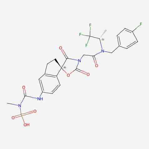 C[C@H](N(Cc1ccc(F)cc1)C(=O)CN1C(=O)O[C@@]2(CCc3cc(NC(=O)N(C)S(=O)(=O)O)ccc32)C1=O)C(F)(F)F